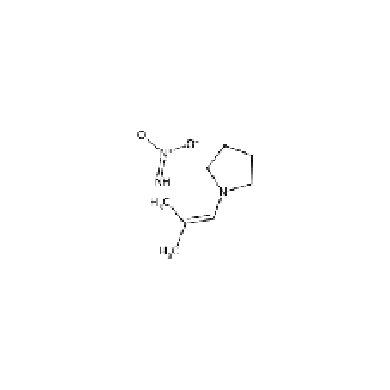 CC(C)=CN1CCCC1.N=[N+]([O-])[O-]